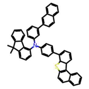 CC1(C)c2ccccc2-c2c(N(c3ccc(C4=CC=CC5c6c(ccc7ccccc67)SC45)cc3)c3cccc(-c4ccc5ccccc5c4)c3)cccc21